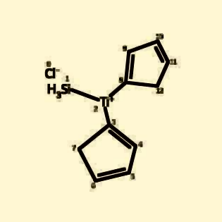 [Cl-].[SiH3][Ti+]([C]1=CC=CC1)[C]1=CC=CC1